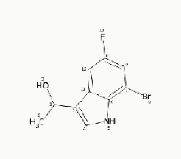 CC(O)c1c[nH]c2c(Br)cc(F)cc12